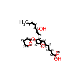 CC/C=C\C[C@H](O)/C=C/[C@@H]1c2cc(CCCCC(=O)O)oc2C[C@H]1OC1CCCCO1